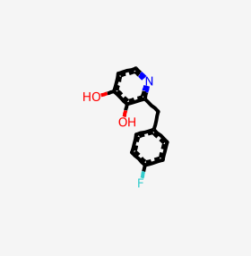 Oc1ccnc(Cc2ccc(F)cc2)c1O